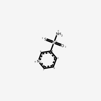 NS(=O)(=S)c1cccnc1